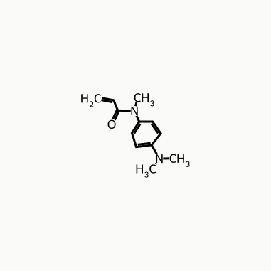 C=CC(=O)N(C)c1ccc(N(C)C)cc1